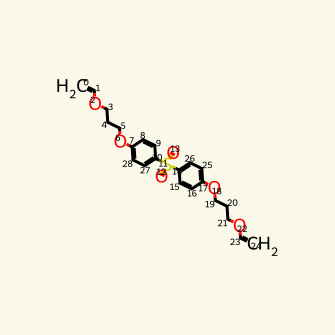 C=COCCCOc1ccc(S(=O)(=O)c2ccc(OCCCOC=C)cc2)cc1